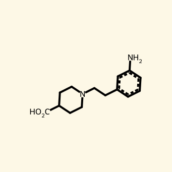 Nc1cccc(CCN2CCC(C(=O)O)CC2)c1